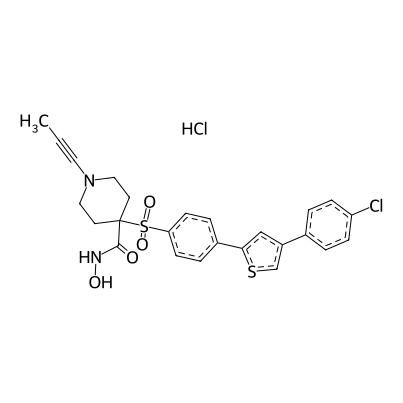 CC#CN1CCC(C(=O)NO)(S(=O)(=O)c2ccc(-c3cc(-c4ccc(Cl)cc4)cs3)cc2)CC1.Cl